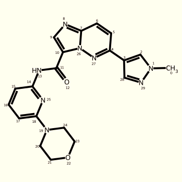 Cn1cc(-c2ccc3ncc(C(=O)Nc4cccc(N5CCOCC5)n4)n3n2)cn1